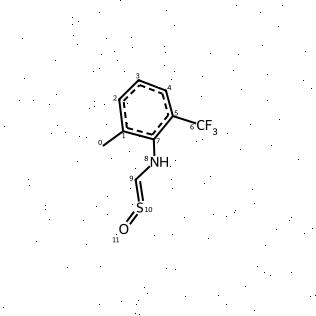 Cc1cccc(C(F)(F)F)c1NC=S=O